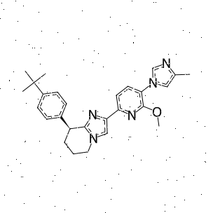 COc1nc(-c2cn3c(n2)[C@H](c2ccc(C(C)(C)C)cc2)CCC3)ccc1-n1cnc(C)c1